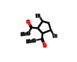 CCC1CC(CC)C(C(=O)OC)C1C(=O)OC